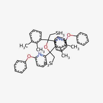 Cc1cccc(C(C[SiH3])(OC(C[SiH3])(c2cccc(Oc3ccccc3)n2)c2cccc(C)c2C)c2cccc(Oc3ccccc3)n2)c1C